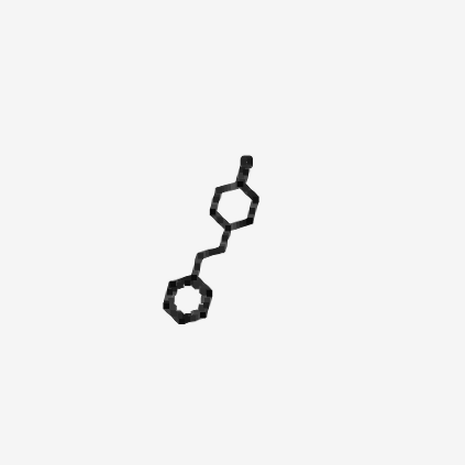 O=C1CCC(CCc2ccccc2)CC1